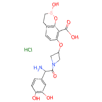 Cl.NC(C(=O)N1CC(Oc2ccc3c(c2C(=O)O)OB(O)CC3)C1)c1ccc(O)c(O)c1